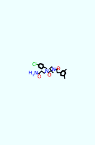 Cc1cc(C)cc(CC(=O)N2CCC2(C)C(=O)N(CCC(N)=O)Cc2ccc(Cl)cc2)c1